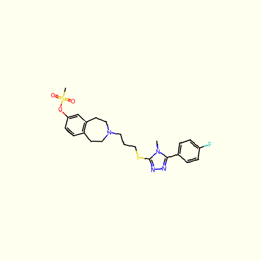 Cn1c(SCCCN2CCc3ccc(OS(C)(=O)=O)cc3CC2)nnc1-c1ccc(F)cc1